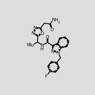 CC(C)(C)C(NC(=O)c1nn(Cc2ccc(F)cc2)c2ccccc12)c1nnc(CC(N)=O)o1